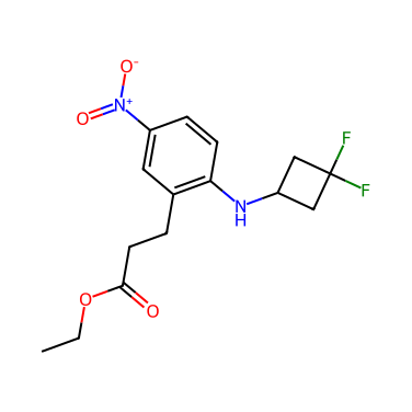 CCOC(=O)CCc1cc([N+](=O)[O-])ccc1NC1CC(F)(F)C1